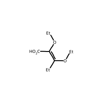 CCOC(CC)=C(OCC)C(=O)O